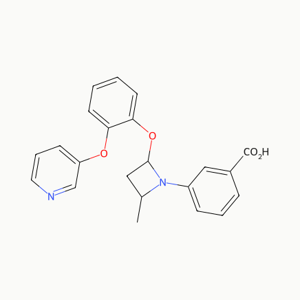 CC1CC(Oc2ccccc2Oc2cccnc2)N1c1cccc(C(=O)O)c1